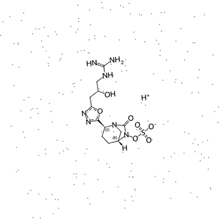 N=C(N)NCC(O)Cc1nnc([C@@H]2CC[C@@H]3CN2C(=O)N3OS(=O)(=O)[O-])o1.[H+]